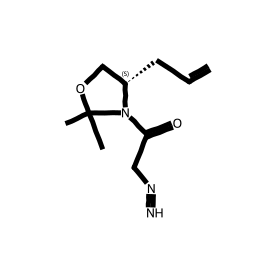 C=CC[C@H]1COC(C)(C)N1C(=O)CN=N